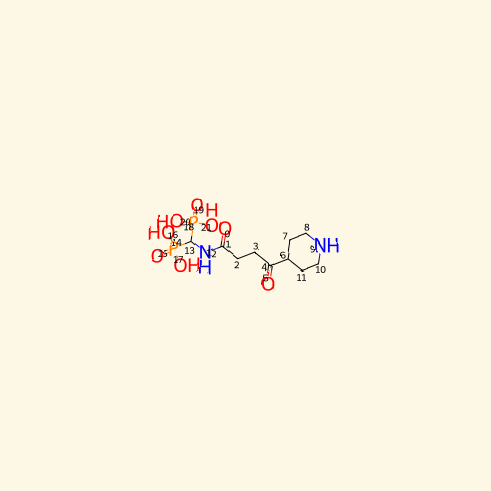 O=C(CCC(=O)C1CCNCC1)NC(P(=O)(O)O)P(=O)(O)O